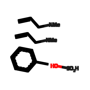 C=CCNC.C=CCNC.Cc1ccccc1.O=S(=O)(O)O